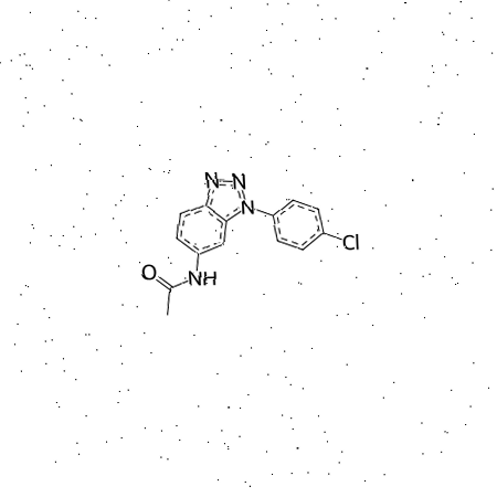 CC(=O)Nc1ccc2nnn(-c3ccc(Cl)cc3)c2c1